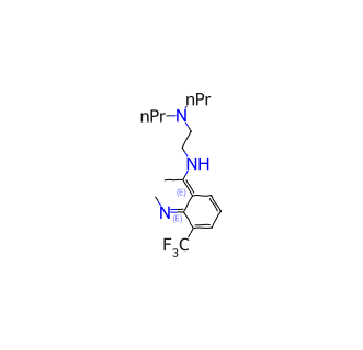 CCCN(CCC)CCN/C(C)=C1\C=CC=C(C(F)(F)F)\C1=N\C